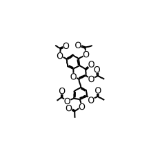 CC(=O)Oc1cc(OC(C)=O)c2c(=O)c(OC(C)=O)c(-c3cc(OC(C)=O)c(OC(C)=O)c(OC(C)=O)c3)oc2c1